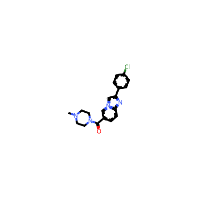 CN1CCN(C(=O)c2ccc3nc(-c4ccc(Cl)cc4)[c]n3c2)CC1